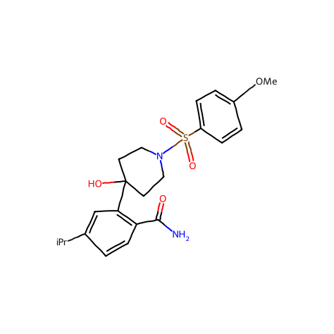 COc1ccc(S(=O)(=O)N2CCC(O)(c3cc(C(C)C)ccc3C(N)=O)CC2)cc1